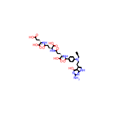 C#CCN(CCc1c[nH]c2nc(N)nc(O)c12)c1ccc(C(=O)N[C@@H](CCC(=O)N[C@@H](CCC(=O)N[C@@H](CCC(=O)O)C(=O)O)C(=O)O)C(=O)O)cc1